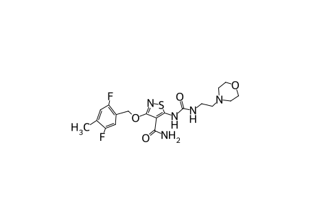 Cc1cc(F)c(COc2nsc(NC(=O)NCCN3CCOCC3)c2C(N)=O)cc1F